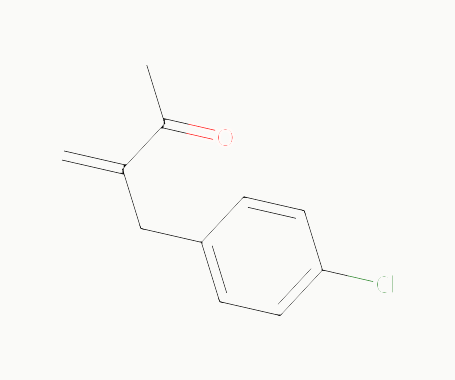 C=C(Cc1ccc(Cl)cc1)C(C)=O